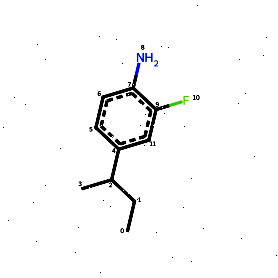 CCC(C)c1ccc(N)c(F)c1